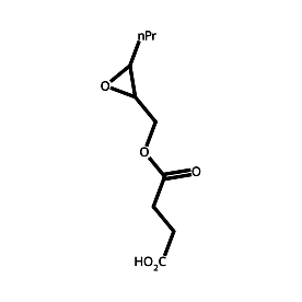 CCCC1OC1COC(=O)CCC(=O)O